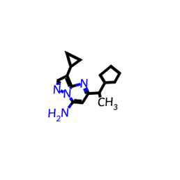 CC(c1cc(N)n2ncc(C3CC3)c2n1)C1CCCC1